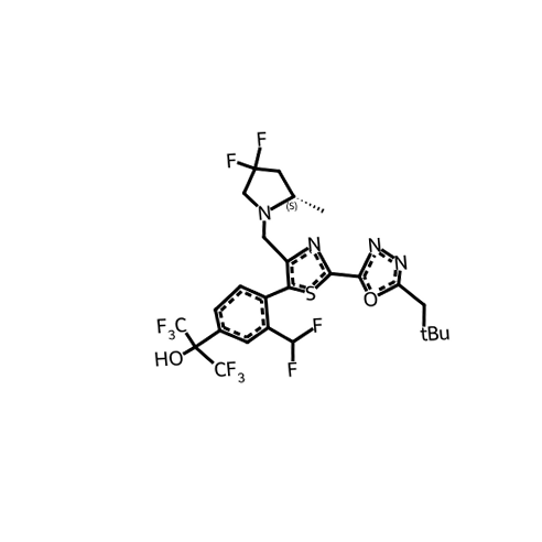 C[C@H]1CC(F)(F)CN1Cc1nc(-c2nnc(CC(C)(C)C)o2)sc1-c1ccc(C(O)(C(F)(F)F)C(F)(F)F)cc1C(F)F